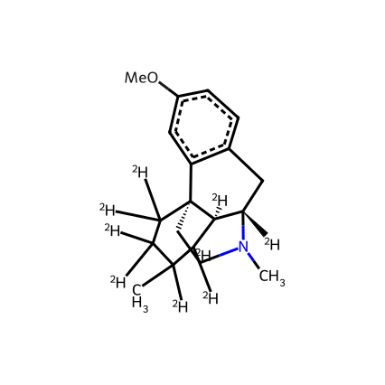 [2H]C1([2H])C([2H])(C)C([2H])([2H])[C@]2([2H])[C@]3([2H])Cc4ccc(OC)cc4[C@]2(CCN3C)C1([2H])[2H]